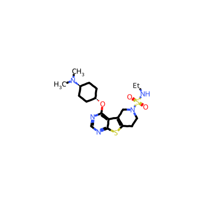 CCNS(=O)(=O)N1CCc2sc3ncnc(O[C@H]4CC[C@H](N(C)C)CC4)c3c2C1